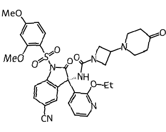 CCOc1ncccc1[C@]1(NC(=O)N2CC(N3CCC(=O)CC3)C2)C(=O)N(S(=O)(=O)c2ccc(OC)cc2OC)c2ccc(C#N)cc21